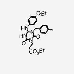 CCOC(=O)CCN1C(=O)NC(Nc2ccc(OCC)cc2)N(Cc2ccc(C)cc2)C1=O